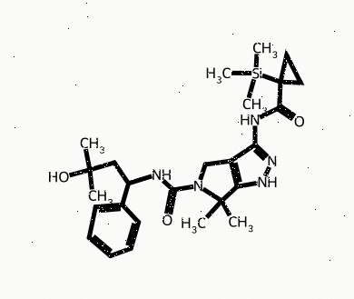 CC(C)(O)CC(NC(=O)N1Cc2c(NC(=O)C3([Si](C)(C)C)CC3)n[nH]c2C1(C)C)c1ccccc1